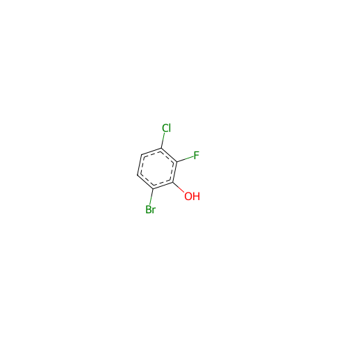 Oc1c(Br)ccc(Cl)c1F